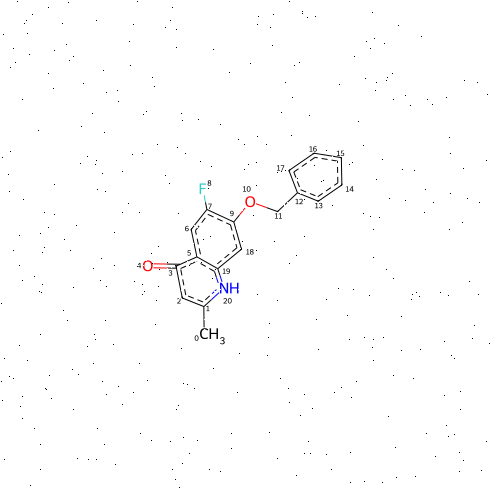 Cc1cc(=O)c2cc(F)c(OCc3ccccc3)cc2[nH]1